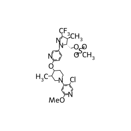 COc1cc(N2CCC(Oc3ccc(N4N=C(C(F)(F)F)[C@@H](C)[C@@H]4COS(C)(=O)=O)cn3)C(C)C2)c(Cl)cn1